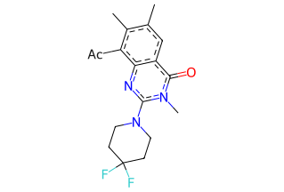 CC(=O)c1c(C)c(C)cc2c(=O)n(C)c(N3CCC(F)(F)CC3)nc12